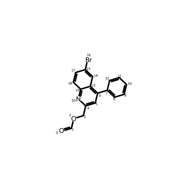 O=COCc1cc(-c2ccccc2)c2cc(Br)ccc2n1